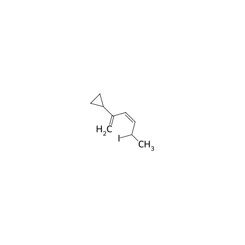 C=C(/C=C\C(C)I)C1CC1